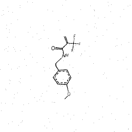 C=C(C(=O)NCc1ccc(OC)cc1)C(F)(F)F